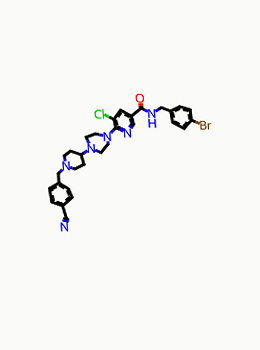 N#Cc1ccc(CN2CCC(N3CCN(c4ncc(C(=O)NCc5ccc(Br)cc5)cc4Cl)CC3)CC2)cc1